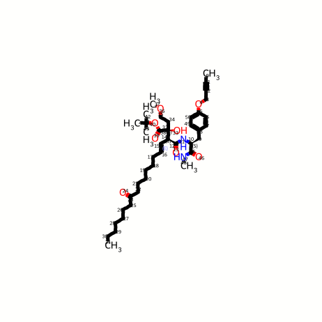 CC#CCOc1ccc(C[C@H](NC(=O)[C@@H](/C=C/CCCCCCC(=O)CCCCCCC)[C@@](O)(CCOC)C(=O)OC(C)(C)C)C(=O)NC)cc1